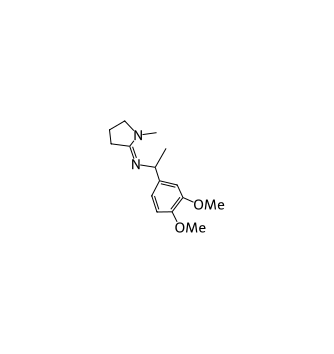 COc1ccc(C(C)N=C2CCCN2C)cc1OC